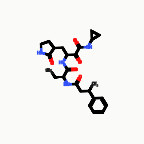 CC(C)(C)C[C@H](NC(=O)CC(c1ccccc1)C(F)(F)F)C(=O)NC(CC1CCNC1=O)C(=O)C(=O)NC1CC1